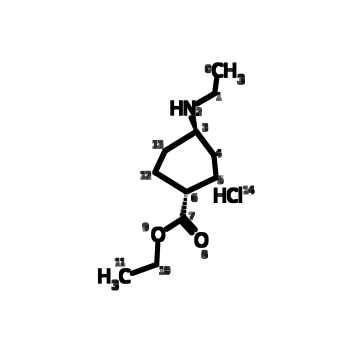 CCN[C@H]1CC[C@H](C(=O)OCC)CC1.Cl